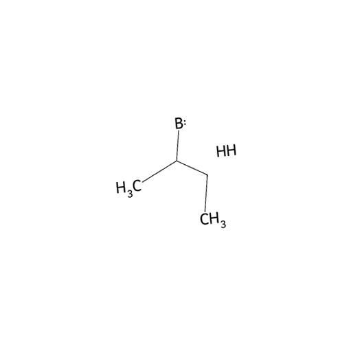 [B]C(C)CC.[HH]